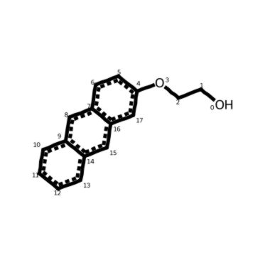 OCCOc1ccc2cc3ccccc3cc2c1